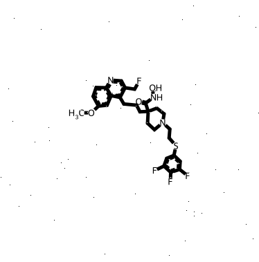 COc1ccc2ncc(CF)c(CCCC3(C(=O)NO)CCN(CCSc4cc(F)c(F)c(F)c4)CC3)c2c1